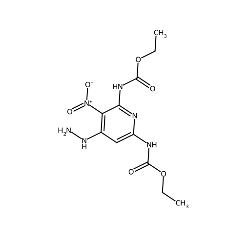 CCOC(=O)Nc1cc(NN)c([N+](=O)[O-])c(NC(=O)OCC)n1